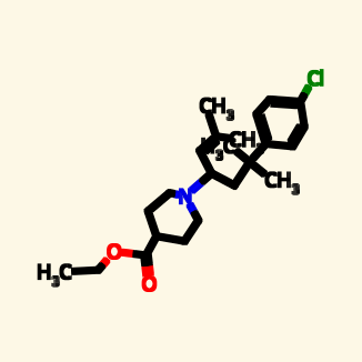 CCOC(=O)C1CCN(C(C=C(C)C)CC(C)(C)c2ccc(Cl)cc2)CC1